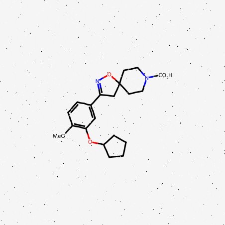 COc1ccc(C2=NOC3(CCN(C(=O)O)CC3)C2)cc1OC1CCCC1